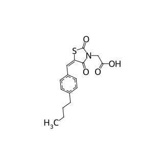 CCCCc1ccc(C=C2SC(=O)N(CC(=O)O)C2=O)cc1